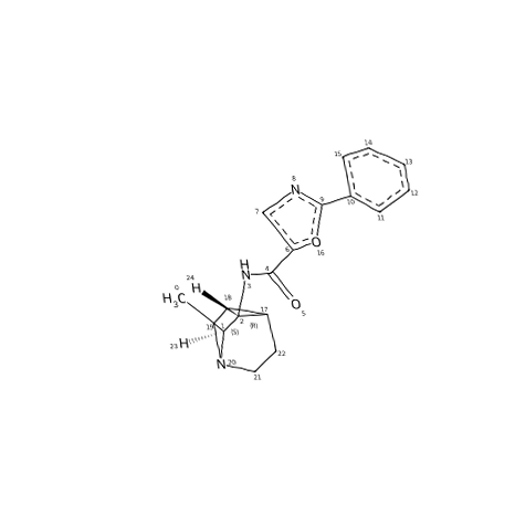 C[C@H]1[C@H](NC(=O)c2cnc(-c3ccccc3)o2)C2CCN1CC2